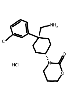 Cl.NC[C@]1(c2cccc(Cl)c2)CC[C@@H](N2CCCOC2=O)CC1